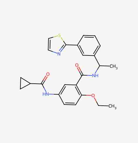 CCOc1ccc(NC(=O)C2CC2)cc1C(=O)NC(C)c1cccc(-c2nccs2)c1